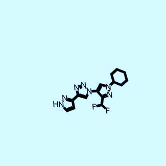 FC(F)c1nn(C2CCCCC2)cc1-n1cc(-c2cc[nH]n2)nn1